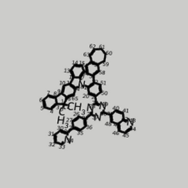 CC1(C)c2ccccc2-c2cc3c4ccccc4n(-c4cc(-c5nc(-c6ccc(-c7ccccn7)cc6)nc(-c6ccc7ncccc7c6)n5)ccc4-c4ccc5c(c4)CCCC=C5)c3cc21